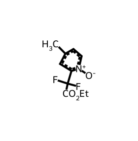 CCOC(=O)C(F)(F)c1cc(C)cc[n+]1[O-]